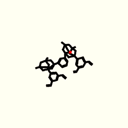 C=Cc1cc(C=C)cc(C23CC4(C)CC(C)(C2)CC(c2cccc(C56CC7(C)CC(C)(CC(c8cc(C=C)cc(C=C)c8)(C7)C5)C6)c2)(C4)C3)c1